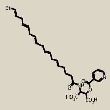 CCC=CCC=CCC=CCC=CCC=CCCCC(=O)NC(C(=O)O)C(OC(=O)c1cccnc1)C(=O)O